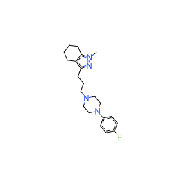 Cn1nc(CCCN2CCN(c3ccc(F)cc3)CC2)c2c1CCCC2